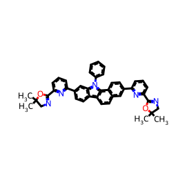 CC1(C)CN=C(c2cccc(-c3ccc4c(ccc5c6ccc(-c7cccc(C8=NCC(C)(C)O8)n7)cc6n(-c6ccccc6)c45)c3)n2)O1